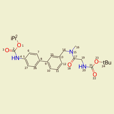 CC(C)OC(=O)Nc1ccc(-c2cccc(CN(C)C(=O)CNC(=O)OC(C)(C)C)c2)cc1